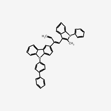 C=C/C(=C\c1c(C)n(-c2ccccc2)c2ccccc12)c1ccc2c(c1)c1ccccc1n2-c1ccc(-c2ccccc2)cc1